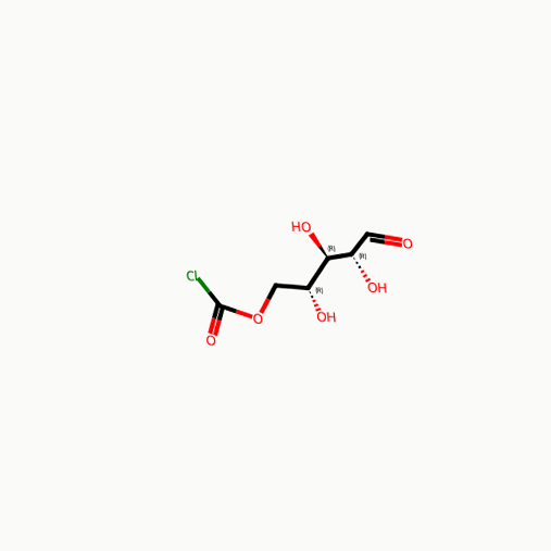 O=C[C@H](O)[C@H](O)[C@H](O)COC(=O)Cl